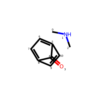 CNC.O=C1C2=CC=C1C=C2